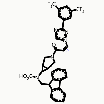 O=C(/C=C\n1cnc(-c2cc(C(F)(F)F)cc(C(F)(F)F)c2)n1)N1CC2C(C1)C2N(CC1c2ccccc2-c2ccccc21)C(=O)O